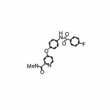 CNC(=O)c1cc(Oc2ccc(NS(=O)(=O)c3ccc(F)cc3)cc2)ccn1